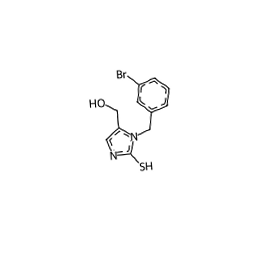 OCc1cnc(S)n1Cc1cccc(Br)c1